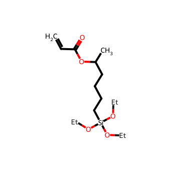 C=CC(=O)OC(C)CCCC[Si](OCC)(OCC)OCC